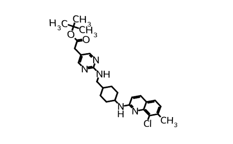 Cc1ccc2ccc(NC3CCC(CNc4ncc(CC(=O)OC(C)(C)C)cn4)CC3)nc2c1Cl